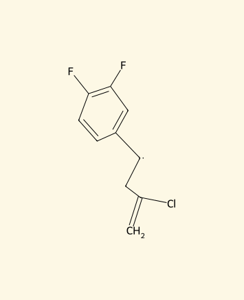 C=C(Cl)C[CH]c1ccc(F)c(F)c1